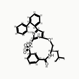 CC(C)C[C@@H]1COc2cc(-c3ccccc3-c3ccccc3)nc(n2)NS(=O)(=O)c2cccc(c2)C(=O)N1